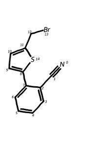 N#Cc1ccccc1-c1ccc(CBr)s1